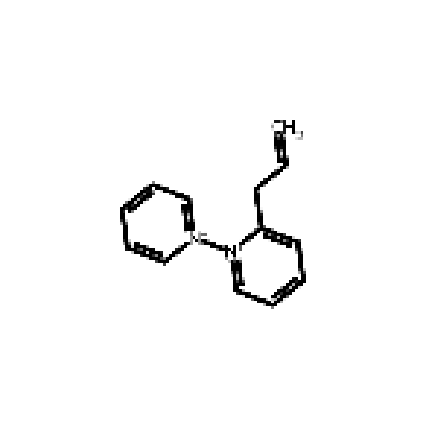 C=CCc1cccc[n+]1-[n+]1ccccc1